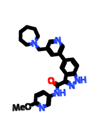 COc1ccc(NC(=O)c2n[nH]c3ccc(-c4cncc(CN5CCCCCC5)c4)cc23)cn1